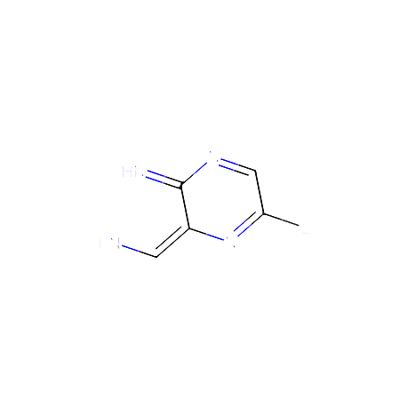 CCC1=N/C(=C/N)C(=N)N=C1